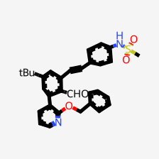 CC(C)(C)c1cc(C#Cc2ccc(NS(C)(=O)=O)cc2)c(C=O)c(-c2cccnc2OCc2ccccc2)c1